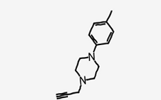 C#CCN1CCN(c2ccc(C)cc2)CC1